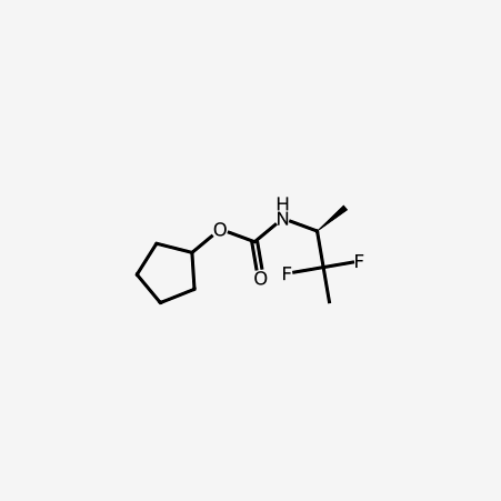 C[C@H](NC(=O)OC1CCCC1)C(C)(F)F